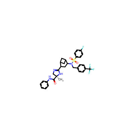 C[C@]1(C(=O)Nc2ccccc2)CN=C(C2CC(N(Cc3ccc(C(F)(F)F)cc3)S(=O)(=O)c3ccc(F)cc3)C3CC2C3)N1